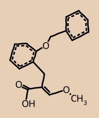 CO/C=C(\Cc1ccccc1OCc1ccccc1)C(=O)O